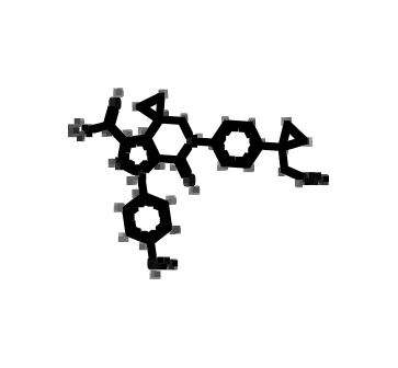 CNCC1(c2ccc(N3CC4(CC4)c4c(C(N)=O)nn(-c5ccc(OC)cc5)c4C3=O)cc2)CC1